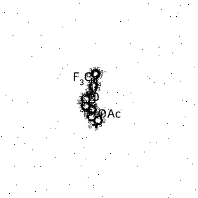 CC(=O)OC1CCC(C)(C)C2CC[C@]3(C)C(CC=C4[C@@H]5CC(C)(C(=O)N6CCN(c7ccccc7C(F)(F)F)CC6)CC[C@]5(C)CC[C@]43C)[C@@]12C